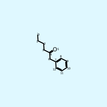 [CH2]CCCC(=O)Cc1ccccc1